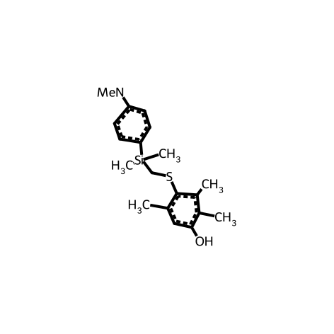 CNc1ccc([Si](C)(C)CSc2c(C)cc(O)c(C)c2C)cc1